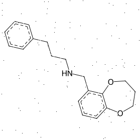 c1ccc(CCCNCc2cccc3c2OCCCO3)cc1